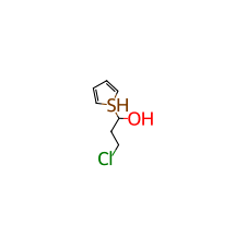 OC(CCCl)[SH]1C=CC=C1